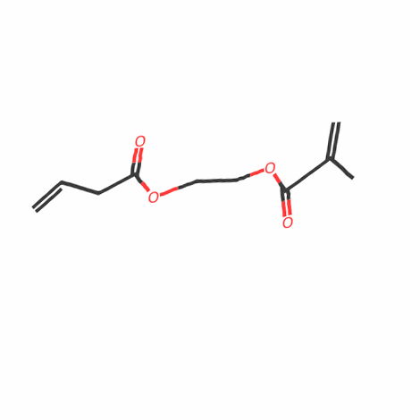 C=CCC(=O)OCCOC(=O)C(=C)C